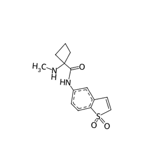 CNC1(C(=O)Nc2ccc3c(c2)C=CS3(=O)=O)CCC1